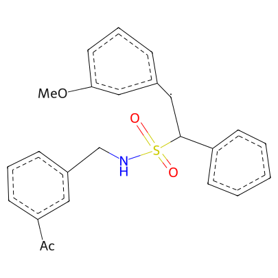 COc1cccc([CH]C(c2ccccc2)S(=O)(=O)NCc2cccc(C(C)=O)c2)c1